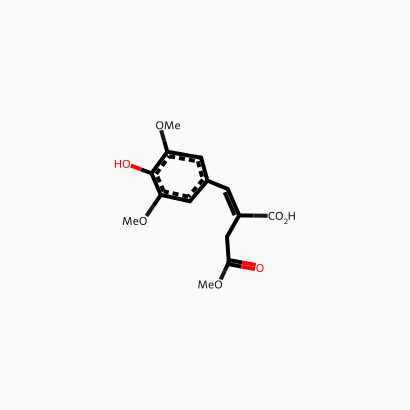 COC(=O)CC(=Cc1cc(OC)c(O)c(OC)c1)C(=O)O